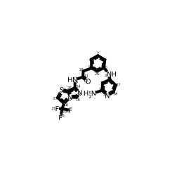 Nc1cc(Nc2cccc(CC(=O)Nc3ncn4c(C(F)(F)F)csc34)c2)ccn1